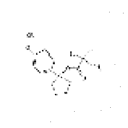 CCC(C)(I)C(=O)OC1(c2ccc(OC(F)(F)F)cc2)CCCC1